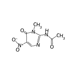 CC(=O)Nc1ncc([N+](=O)[O-])c(=O)n1C